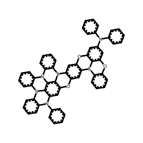 c1ccc(N(c2ccccc2)c2cc3c4c(c2)Oc2cc5c(cc2B4c2ccccc2O3)Oc2cc3c4c6c2B5c2ccccc2N6c2ccccc2B4c2ccccc2N3c2ccccc2)cc1